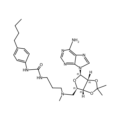 CCCCc1ccc(NC(=O)NCCCN(C)C[C@H]2O[C@@H](n3cnc4c(N)ncnc43)[C@@H]3OC(C)(C)O[C@@H]32)cc1